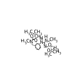 CCNC(=NC(=O)OC(C)(C)C)Nc1cccc(CN(C)C(=O)OC(C)(C)C)c1